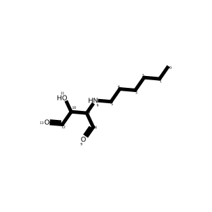 CCCCCCNC(C=O)C(O)C=O